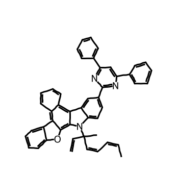 C=CC(C)(/C=C\C=C/C)n1c2ccc(-c3nc(-c4ccccc4)cc(-c4ccccc4)n3)cc2c2c3ccccc3c3c4ccccc4oc3c21